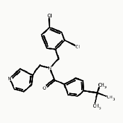 CC(C)(C)c1ccc(C(=O)N(Cc2cccnc2)Cc2ccc(Cl)cc2Cl)cc1